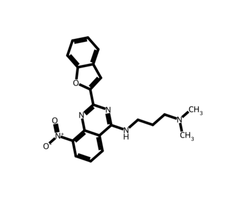 CN(C)CCCNc1nc(-c2cc3ccccc3o2)nc2c([N+](=O)[O-])cccc12